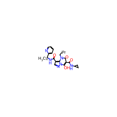 CC(C)Cn1c(=O)c(C(=O)NC2CC2)c(O)n2ncc(C(=O)N[C@H](C)c3ccccn3)c12